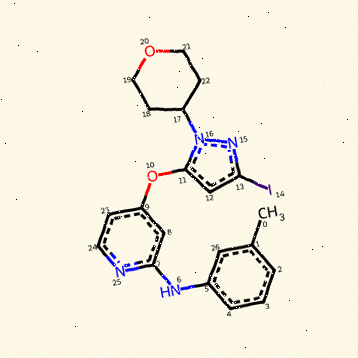 Cc1cccc(Nc2cc(Oc3cc(I)nn3C3CCOCC3)ccn2)c1